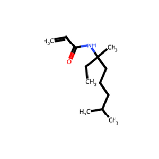 C=CC(=O)NC(C)(CC)CCCC(C)C